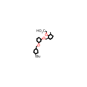 Cc1cccc(COc2cccc(OCc3ccc(C(C)(C)C)cc3)c2)c1OCC(=O)O